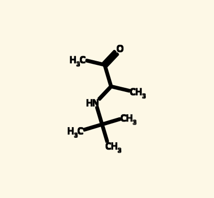 CC(=O)C(C)NC(C)(C)C